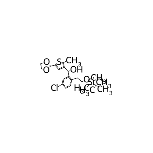 Cc1sc(C2OCCO2)cc1C(O)c1cc(Cl)ccc1CCO[Si](C)(C)C(C)(C)C